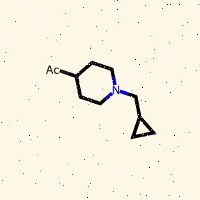 CC(=O)C1CCN(CC2CC2)CC1